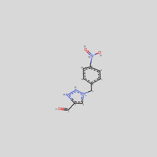 O=Cc1cn(Cc2ccc([N+](=O)[O-])cc2)nn1